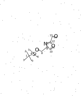 CC(C)(C)[Si](C)(C)OCc1coc(C=O)n1